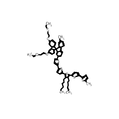 CCCCCCc1c(-c2ccc(-c3ccc(C)s3)s2)sc(-c2ccc(-c3ccc(-c4ccc5c(c4)C(c4ccc(OCCOCC)cc4)(c4ccc(OCCOCC)cc4)c4cc(C)ccc4-5)s3)s2)c1CCCCCC